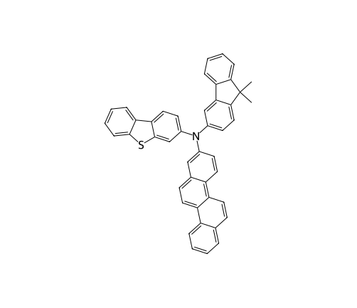 CC1(C)c2ccccc2-c2cc(N(c3ccc4c(ccc5c6ccccc6ccc45)c3)c3ccc4c(c3)sc3ccccc34)ccc21